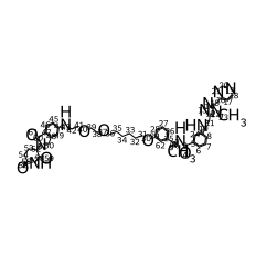 C[C@@H](NC(=O)c1cccc(NCc2nnc(-c3ccncn3)n2C)c1)c1cccc(OCCCCCCOCCOCCNc2ccc3c(c2)CN(C2CCC(=O)NC2=O)C3=O)c1